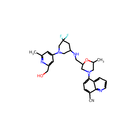 Cc1cc(N2CC(NCC3CN(c4ccc(C#N)c5ncccc45)CC(C)O3)CC(F)(F)C2)cc(CO)n1